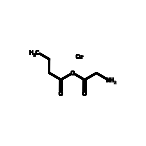 CCCC(=O)OC(=O)CN.[Cu]